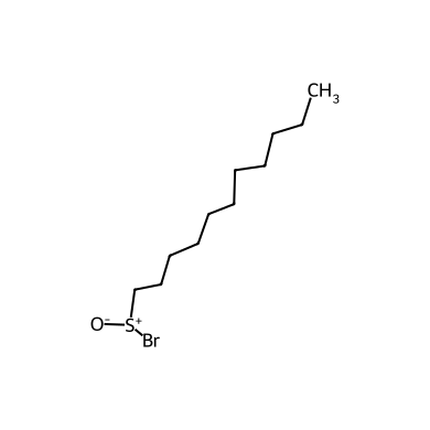 CCCCCCCCCCC[S+]([O-])Br